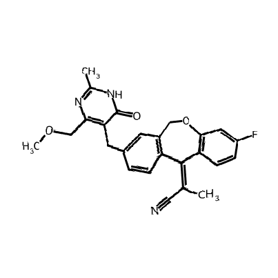 COCc1nc(C)[nH]c(=O)c1Cc1ccc2c(c1)COc1cc(F)ccc1/C2=C(\C)C#N